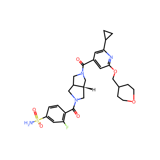 NS(=O)(=O)c1ccc(C(=O)N2CC3CN(C(=O)c4cc(OCC5CCOCC5)nc(C5CC5)c4)C[C@@H]3C2)c(F)c1